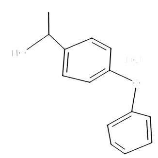 CC(O)c1ccc(Oc2ccccc2)cc1.Cl